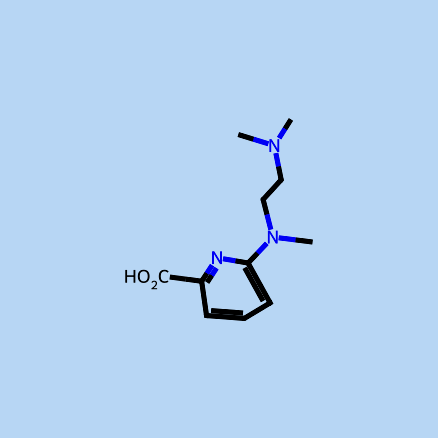 CN(C)CCN(C)c1cccc(C(=O)O)n1